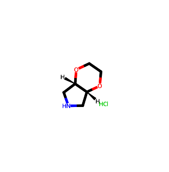 C1CO[C@@H]2CNC[C@@H]2O1.Cl